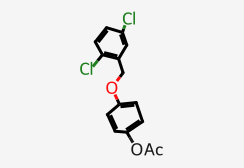 CC(=O)Oc1ccc(OCc2cc(Cl)ccc2Cl)cc1